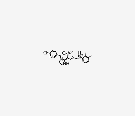 Cc1cccc([SiH2]CSCC(=C2NCCN2Cc2ccc(Cl)nc2)[N+](=O)[O-])c1C